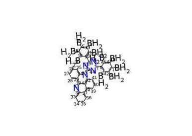 Bc1c(B)c(B)c(-c2nc(-c3c(B)c(B)c(B)c(B)c3B)nc(N3c4ccccc4-c4nc5ccccc5c5cccc3c45)n2)c(B)c1B